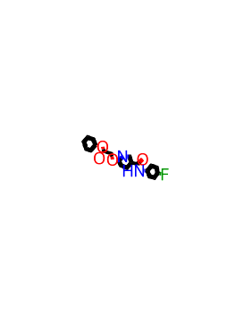 O=C(COc1ccc(C(=O)Nc2ccc(F)cc2)cn1)Oc1ccccc1